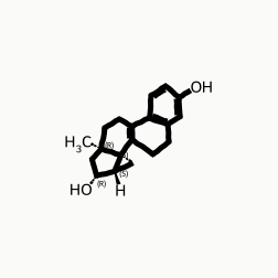 C[C@]12CCC3=C(CCc4cc(O)ccc43)[C@]13C[C@@H]3[C@H](O)C2